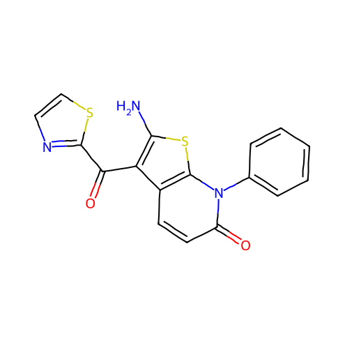 Nc1sc2c(ccc(=O)n2-c2ccccc2)c1C(=O)c1nccs1